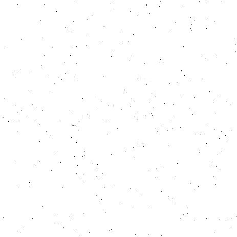 C[C@@H]1COCc2ccc(F)c(c2)Nc2cc(N(C)C(=O)OC(C)(C)C)n3ncc(c3n2)C(=O)N1